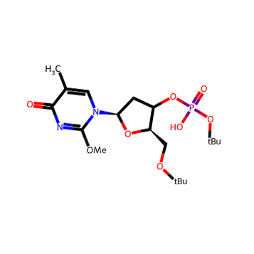 COc1nc(=O)c(C)cn1[C@H]1CC(OP(=O)(O)OC(C)(C)C)[C@@H](COC(C)(C)C)O1